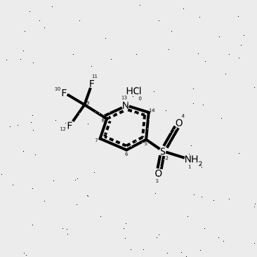 Cl.NS(=O)(=O)c1ccc(C(F)(F)F)nc1